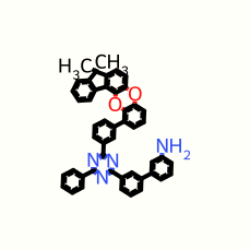 CC1(C)c2ccccc2-c2c1ccc1c2Oc2c(cccc2-c2cccc(-c3nc(-c4ccccc4)nc(-c4cccc(-c5cccc(N)c5)c4)n3)c2)O1